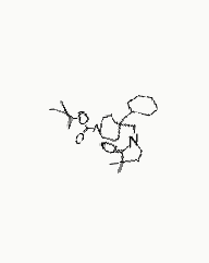 CC(C)(C)OC(=O)N1CCC(CN2CCC(C)(C)C2=O)(C2CCCCC2)CC1